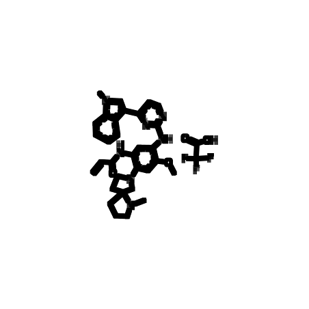 C=CC(=O)Nc1cc(Nc2nccc(-c3cn(C)c4ccccc34)n2)c(OC)cc1N1CCC2(CCCN2C)C1.O=C(O)C(F)(F)F